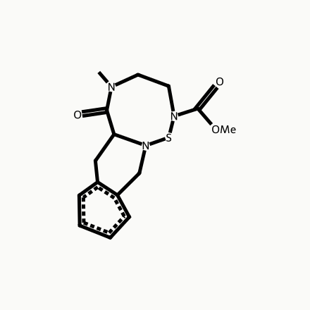 COC(=O)N1CCN(C)C(=O)C2Cc3ccccc3CN2S1